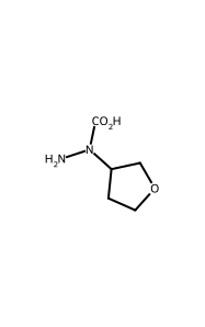 NN(C(=O)O)C1CCOC1